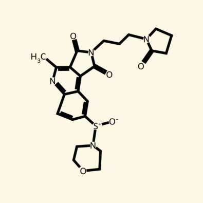 Cc1nc2ccc([S+]([O-])N3CCOCC3)cc2c2c1C(=O)N(CCCN1CCCC1=O)C2=O